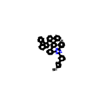 N#Cc1ccc(-c2cccc(-c3nc(-c4ccccc4)nc(-c4ccccc4-c4ccc(-c5c(C#N)cccc5-c5cccc(-c6ccc7cccc8c7c6-c6ccccc6-8)c5)cc4)n3)c2)cc1